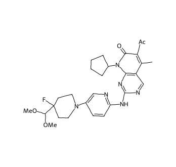 COC(OC)C1(F)CCN(c2ccc(Nc3ncc4c(C)c(C(C)=O)c(=O)n(C5CCCC5)c4n3)nc2)CC1